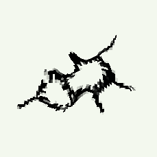 Cc1nc2c(C)c([O])c(C)cc2s1